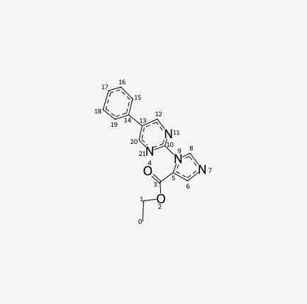 CCOC(=O)c1cncn1-c1ncc(-c2ccccc2)cn1